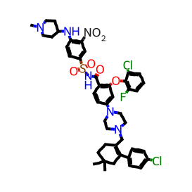 CN1CCC(Nc2ccc(S(=O)(=O)NC(=O)c3ccc(N4CCN(CC5=C(c6ccc(Cl)cc6)CC(C)(C)CC5)CC4)cc3Oc3c(F)cccc3Cl)cc2[N+](=O)[O-])CC1